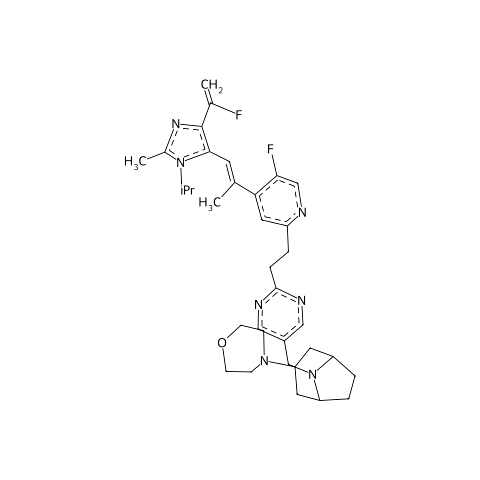 C=C(F)c1nc(C)n(C(C)C)c1/C=C(\C)c1cc(CCc2ncc(CN3C4CCC3CC(N3CCOCC3)C4)cn2)ncc1F